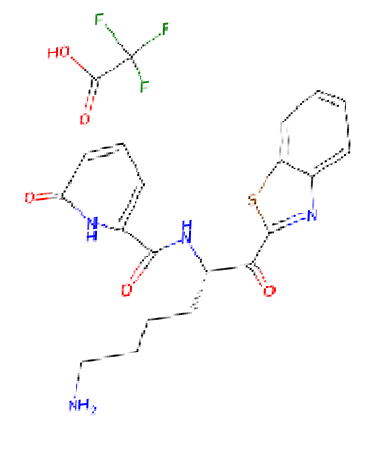 NCCCC[C@H](NC(=O)c1cccc(=O)[nH]1)C(=O)c1nc2ccccc2s1.O=C(O)C(F)(F)F